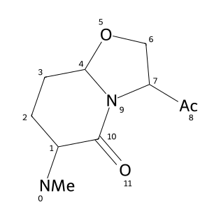 CNC1CCC2OCC(C(C)=O)N2C1=O